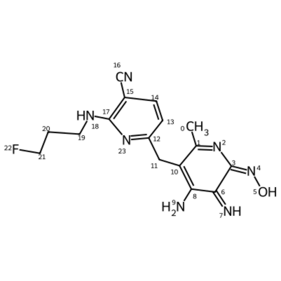 CC1=N/C(=N/O)C(=N)C(N)=C1Cc1ccc(C#N)c(NCCCF)n1